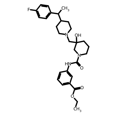 CCOC(=O)c1cccc(NC(=O)N2CCCC(O)(CN3CCC(C(C)c4ccc(F)cc4)CC3)C2)c1